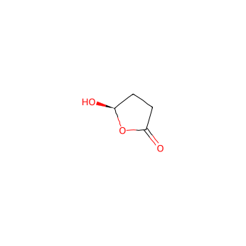 O=C1CC[C@H](O)O1